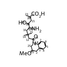 CO[C@@H]1Cc2ccccc2N(C(=O)CC(C)(C)C[C@H](N)[C@@H](O)C[C@@H](C)C(=O)O)C1